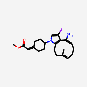 COC(=O)C=C1CCC(n2cc(I)c3c2CC/C(C)=C/CC/C=C\3N)CC1